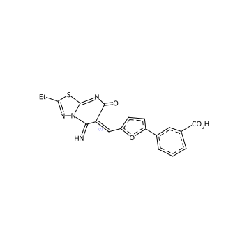 CCC1=NN2C(=N)/C(=C/c3ccc(-c4cccc(C(=O)O)c4)o3)C(=O)N=C2S1